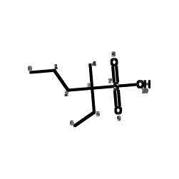 CCCC(C)(CC)S(=O)(=O)O